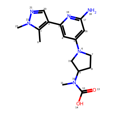 Cc1c(-c2cc(N3CCC(N(C)C(=O)O)C3)cc(N)n2)cnn1C